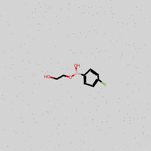 OCCOB(O)c1ccc(F)cc1